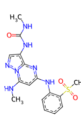 CNC(=O)Nc1cnn2c(NC)cc(Nc3ccccc3S(C)(=O)=O)nc12